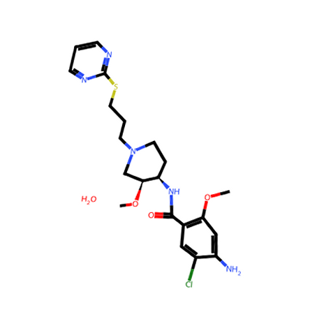 COc1cc(N)c(Cl)cc1C(=O)N[C@@H]1CCN(CCCSc2ncccn2)C[C@@H]1OC.O